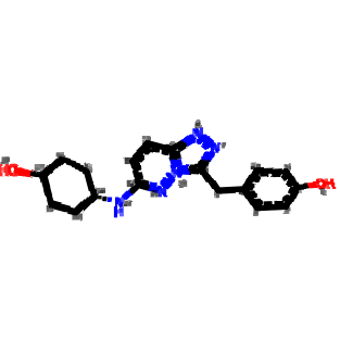 Oc1ccc(Cc2nnc3ccc(N[C@H]4CC[C@H](O)CC4)nn23)cc1